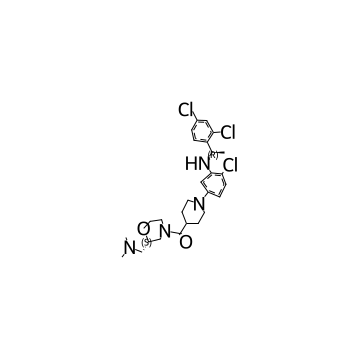 C[C@@H](Nc1cc(N2CCC(C(=O)N3CCO[C@@H](CN(C)C)C3)CC2)ccc1Cl)c1ccc(Cl)cc1Cl